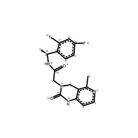 Cc1nccc2c1CN(CC(=O)N[C@@H](C)c1ccc(F)cc1F)C(=O)N2